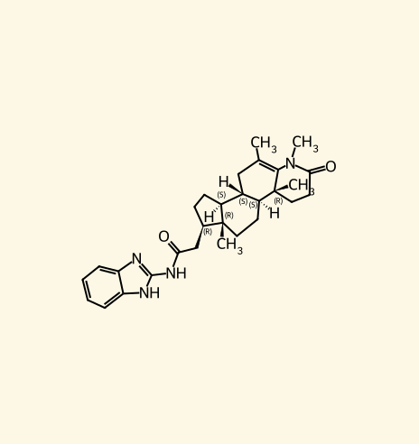 CC1=C2N(C)C(=O)CC[C@]2(C)[C@H]2CC[C@]3(C)[C@@H](CC(=O)Nc4nc5ccccc5[nH]4)CC[C@H]3[C@@H]2C1